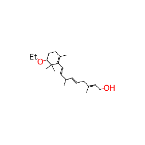 CCOC1CCC(C)=C(/C=C/C(C)/C=C/C/C(C)=C/CO)C1(C)C